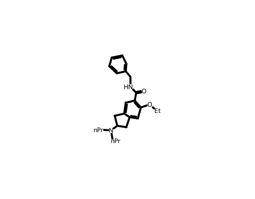 CCCN(CCC)C1Cc2cc(OCC)c(C(=O)NCc3ccccc3)cc2C1